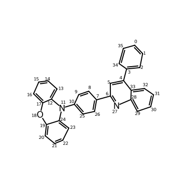 c1ccc(-c2cc(-c3ccc(N4c5ccccc5Oc5ccccc54)cc3)nc3ccccc23)cc1